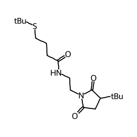 CC(C)(C)SCCCC(=O)NCCN1C(=O)CC(C(C)(C)C)C1=O